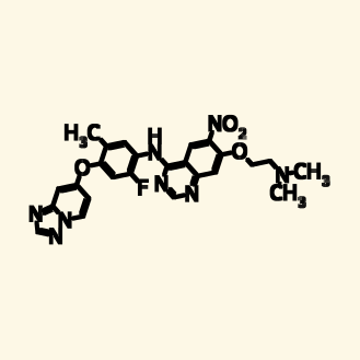 Cc1cc(Nc2ncnc3cc(OCCN(C)C)c([N+](=O)[O-])cc23)c(F)cc1Oc1ccn2ncnc2c1